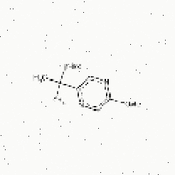 CCCCCCC(C)(C)c1cnc(OC)cn1